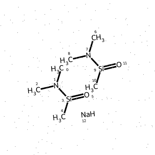 CN(C)[Si](C)=O.CN(C)[Si](C)=O.[NaH]